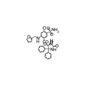 NS(=O)(=O)c1cc(C(=O)O)c(NCc2ccco2)cc1Cl.O=C1NC(=O)C(c2ccccc2)(c2ccccc2)N1